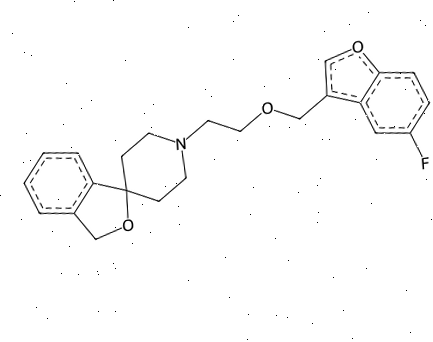 Fc1ccc2occ(COCCN3CCC4(CC3)OCc3ccccc34)c2c1